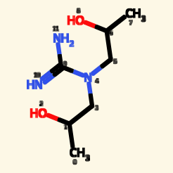 CC(O)CN(CC(C)O)C(=N)N